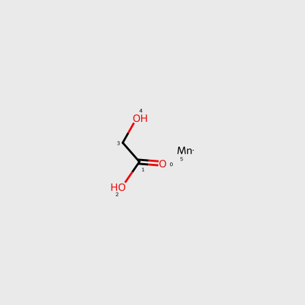 O=C(O)CO.[Mn]